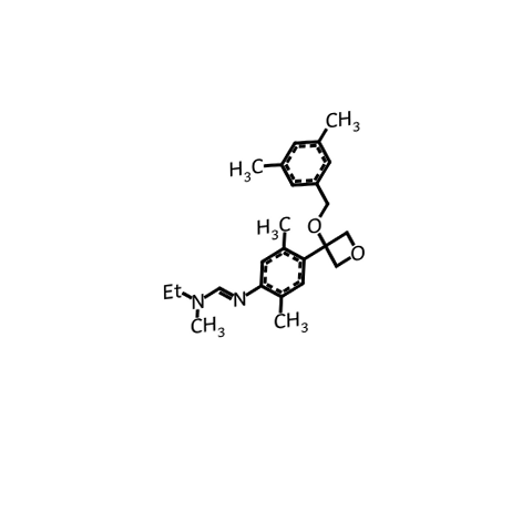 CCN(C)C=Nc1cc(C)c(C2(OCc3cc(C)cc(C)c3)COC2)cc1C